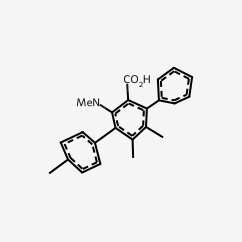 CNc1c(C(=O)O)c(-c2ccccc2)c(C)c(C)c1-c1ccc(C)cc1